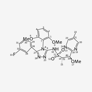 COc1cccc(OC)c1-n1c(NS(=O)(=O)[C@@H](C)[C@H](OC)c2ncc(C)cn2)nnc1-c1cccc(F)c1